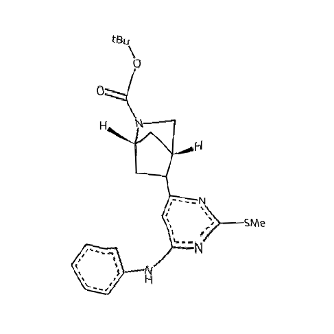 CSc1nc(Nc2ccccc2)cc(C2C[C@H]3C[C@@H]2CN3C(=O)OC(C)(C)C)n1